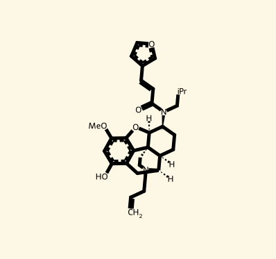 C=CCN1CC[C@]23c4c5c(O)cc(OC)c4O[C@H]2[C@@H](N(CC(C)C)C(=O)/C=C/c2ccoc2)CC[C@H]3[C@H]1C5